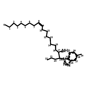 CCCCCCCC/C=C\CCCCCCCC(N)C(CCC)n1nnc2cc(C)ccc21